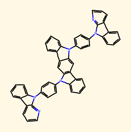 c1ccc2c(c1)c1cc3c(cc1n2-c1ccc(-n2c4ccccc4c4cccnc42)cc1)c1ccccc1n3-c1ccc(-n2c3ccccc3c3cccnc32)cc1